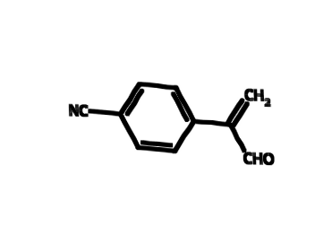 C=C(C=O)c1ccc(C#N)cc1